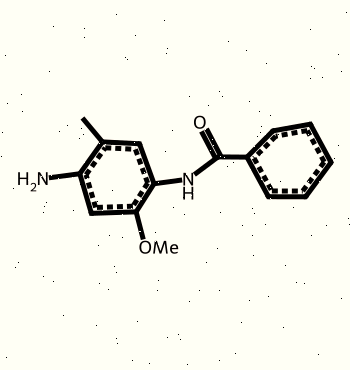 COc1cc(N)c(C)cc1NC(=O)c1ccccc1